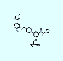 Cn1cnc(-c2cnc(N)c(OCC3CCN(c4nc(OCC5(C#N)CC5)nc(C(=O)NC5CCC5)n4)CC3)c2)c1